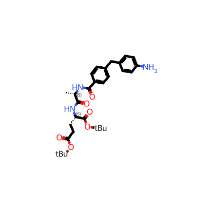 C[C@H](NC(=O)c1ccc(Cc2ccc(N)cc2)cc1)C(=O)N[C@@H](CCC(=O)OC(C)(C)C)C(=O)OC(C)(C)C